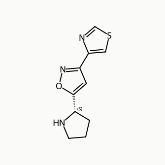 c1nc(-c2cc([C@@H]3CCCN3)on2)cs1